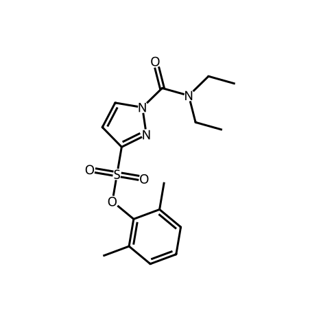 CCN(CC)C(=O)n1ccc(S(=O)(=O)Oc2c(C)cccc2C)n1